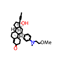 CC#C[C@]1(O)CC[C@H]2[C@@H]3CCC4=CC(=O)CC[C@]4(C)[C@H]3[C@@H](c3ccc(N(C)CCOC)cc3)C[C@@]21C